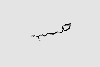 [NH]C(=O)OCCCCCc1ccccc1